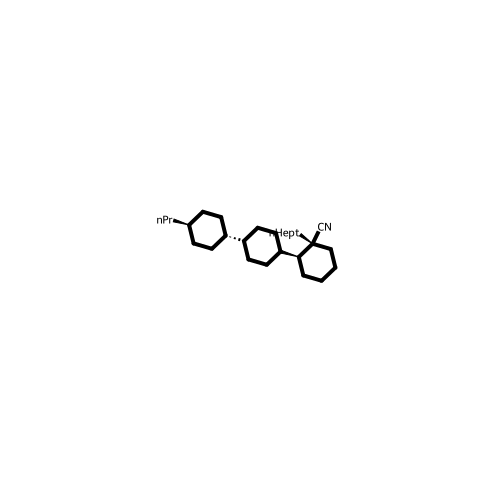 CCCCCCC[C@@]1(C#N)CCCC[C@H]1C1CCC([C@H]2CC[C@H](CCC)CC2)CC1